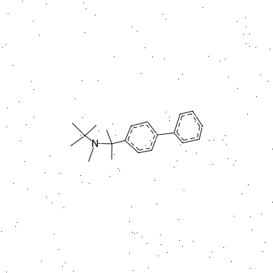 CN(C(C)(C)C)C(C)(C)c1ccc(-c2ccccc2)cc1